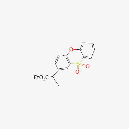 CCOC(=O)C(C)c1ccc2c(c1)S(=O)(=O)c1ccccc1O2